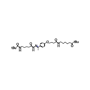 C/C(=N\NC(=O)CCCCNC(=O)C(C)(C)C)c1ccc(OCCCC(=O)NCCCCCC(=O)C(C)(C)C)cc1